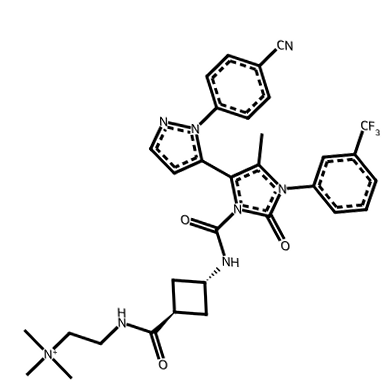 Cc1c(-c2ccnn2-c2ccc(C#N)cc2)n(C(=O)N[C@H]2C[C@H](C(=O)NCC[N+](C)(C)C)C2)c(=O)n1-c1cccc(C(F)(F)F)c1